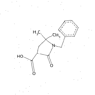 CC1(C)CC(C(=O)O)C(=O)N1Cc1ccccc1